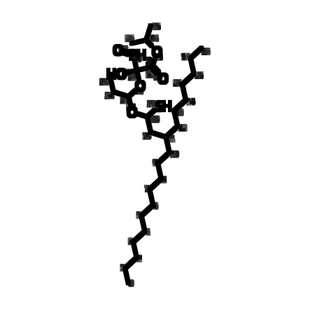 CCCCCCCCCCCC(CCCCCCC)CC(S)OC(CC)OC(O)([PH2]=O)C(=O)OC(C)C